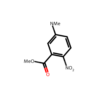 CNc1ccc([N+](=O)[O-])c(C(=O)OC)c1